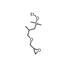 CCO[Si](C)(C)CC(C)COCC1CO1